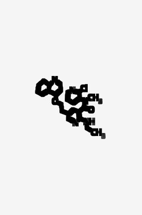 CCNc1ncc(CCOC2=CC=NC3CC=CC=C23)cc1C(=O)N(C)c1cccnc1Cl